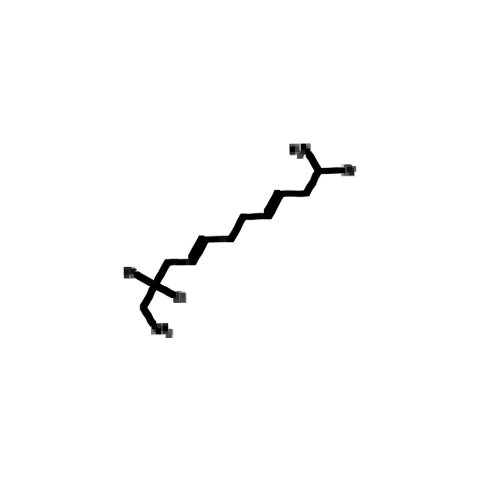 CCC(CC)(CN)CC=CCCC=CCC(N)C(C)C